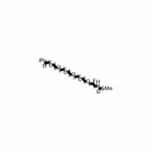 CSC(=O)NCC(F)COCCOCCOCCOCCOCCOCC(=O)C(C)C